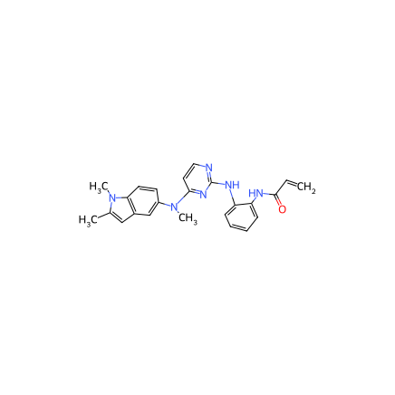 C=CC(=O)Nc1ccccc1Nc1nccc(N(C)c2ccc3c(c2)cc(C)n3C)n1